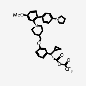 COc1ccc(-c2ccc(N3CCCC3)cc2)c(N2CCC(COc3cccc([C@@H](CC(=O)OC(=O)C(F)(F)F)C4CC4)c3)CC2)c1